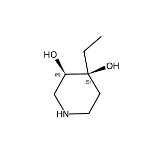 CC[C@]1(O)CCNC[C@H]1O